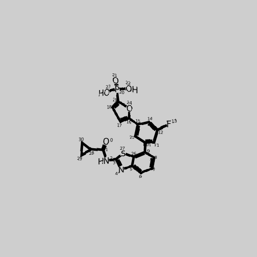 O=C(Nc1nc2cccc(-c3cc(F)cc(-c4ccc(P(=O)(O)O)o4)c3)c2s1)C1CC1